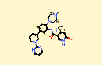 C[C@@H]1CN(c2cc(F)c(C3=CCCN(c4ncccn4)C3)c(F)c2NC(=O)c2c[nH]c(=O)cc2C(F)(F)F)C[C@H](C)N1C